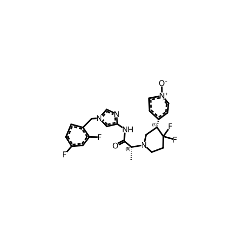 C[C@H](C(=O)Nc1cn(Cc2ccc(F)cc2F)cn1)N1CCC(F)(F)[C@@H](c2cc[n+]([O-])cc2)C1